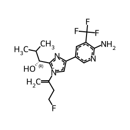 C=C(CCF)n1cc(-c2cnc(N)c(C(F)(F)F)c2)nc1[C@H](O)C(C)C